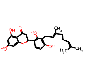 CC(C)=CCC/C(C)=C/Cc1c(O)ccc([C@@H]2CC(=O)c3c(O)cc(O)cc3O2)c1O